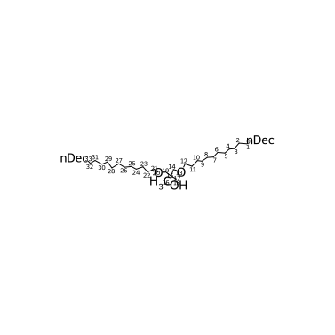 CCCCCCCCCCCCCCCCCCCCCCOCC(C)(CO)COCCCCCCCCCCCCCCCCCCCCCC